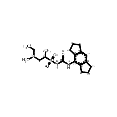 CCN(C)CC(C)S(=O)(=O)NC(=O)Nc1c2c(cc3c1CCC3)CCC2